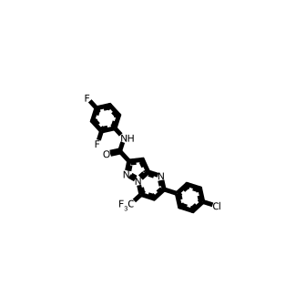 O=C(Nc1ccc(F)cc1F)c1cc2nc(-c3ccc(Cl)cc3)cc(C(F)(F)F)n2n1